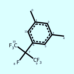 Cc1cc(C)cc(C(F)(C(F)(F)F)C(F)(F)F)c1